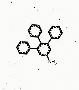 Nc1cc(-c2ccccc2)c(-c2ccccc2)c(-c2ccccc2)c1